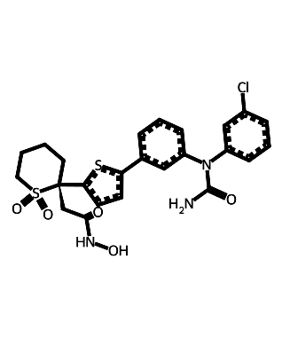 NC(=O)N(c1cccc(Cl)c1)c1cccc(-c2ccc([C@@]3(CC(=O)NO)CCCCS3(=O)=O)s2)c1